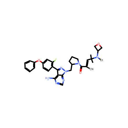 CCN(C1COC1)C(C)(C)C=C(C#N)C(=O)N1CCCC1Cn1nc(-c2ccc(Oc3ccccc3)cc2F)c2c(N)ncnc21